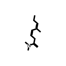 C=C(C/C=C\C(C)=C/CC)N(C)C